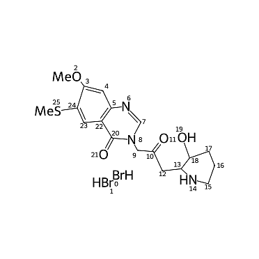 Br.Br.COc1cc2ncn(CC(=O)CC3NCCCC3O)c(=O)c2cc1SC